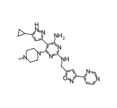 CN1CCN(c2nc(NCc3cc(-c4ccncn4)no3)nc(N)c2-c2cc(C3CC3)[nH]n2)CC1